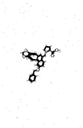 O=C(O)[C@@H]1CCCN1Cc1cc2cc3c(cc2c2cc(OCc4ccccc4)ccc12)OCO3